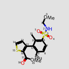 COCNS(=O)(=O)c1ccc(C(C)(C)C)c(-c2ccsc2C(=O)OC)c1C